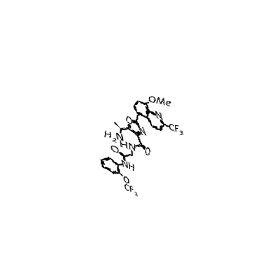 COc1ccc(-c2nc(C(=O)NCC(=O)Nc3ccccc3OC(F)(F)F)c([C@H](C)N)o2)c2ccc(C(F)(F)F)nc12